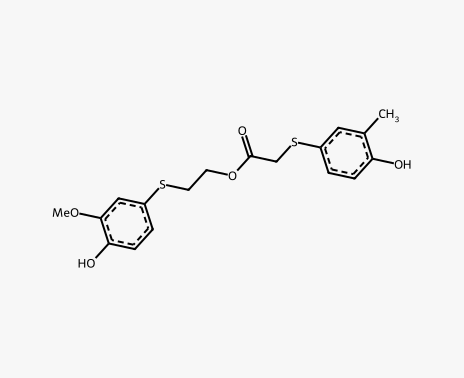 COc1cc(SCCOC(=O)CSc2ccc(O)c(C)c2)ccc1O